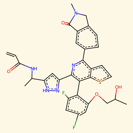 C=CC(=O)NC(C)c1cc(-c2nc(-c3ccc4c(c3)C(=O)N(C)C4)c3ccsc3c2-c2c(F)cc(F)cc2OCC(C)O)n[nH]1